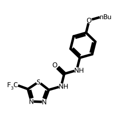 CCCCOc1ccc(NC(=O)Nc2nnc(C(F)(F)F)s2)cc1